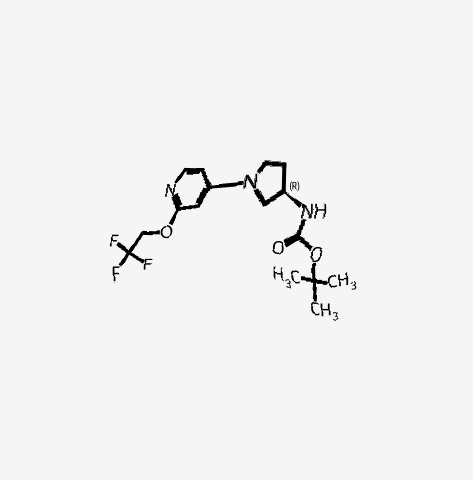 CC(C)(C)OC(=O)N[C@@H]1CCN(c2ccnc(OCC(F)(F)F)c2)C1